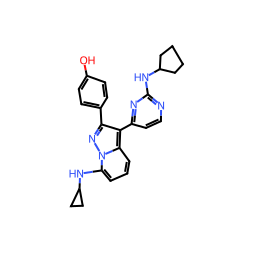 Oc1ccc(-c2nn3c(NC4CC4)cccc3c2-c2ccnc(NC3CCCC3)n2)cc1